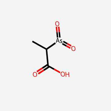 CC(C(=O)O)[As](=O)=O